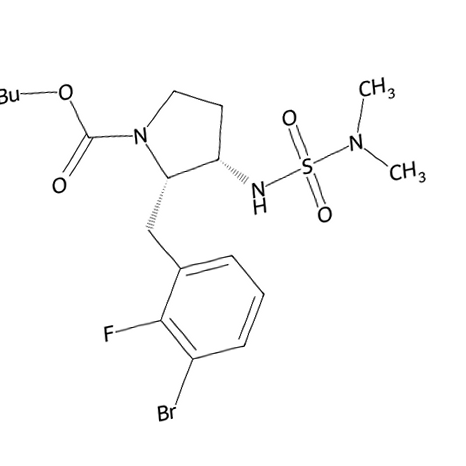 CN(C)S(=O)(=O)N[C@H]1CCN(C(=O)OC(C)(C)C)[C@H]1Cc1cccc(Br)c1F